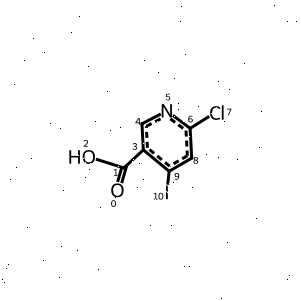 O=C(O)c1cnc(Cl)cc1I